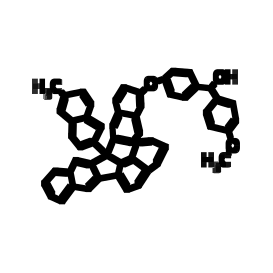 COc1ccc(C(O)c2ccc(Oc3ccc4cc(C5(c6ccc7cc(C)ccc7c6)c6cc7ccccc7cc6-c6ccc7ccccc7c65)ccc4c3)cc2)cc1